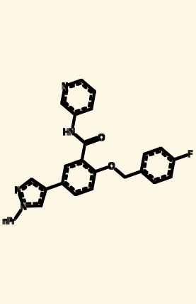 CCCn1cc(-c2ccc(OCc3ccc(F)cc3)c(C(=O)Nc3cccnc3)c2)cn1